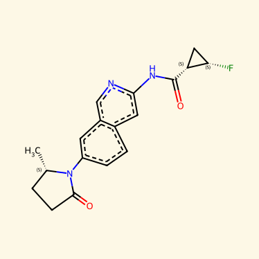 C[C@H]1CCC(=O)N1c1ccc2cc(NC(=O)[C@@H]3C[C@@H]3F)ncc2c1